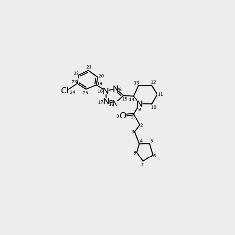 O=C(CCC1CCCC1)N1CCCCC1c1nnn(-c2cccc(Cl)c2)n1